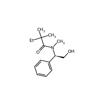 CCC(C)(C)C(=O)N(C)[C@@H](CO)c1ccccc1